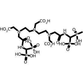 CP(=O)(O)C(NC(=O)CN(CCN(CCN(CC(=O)O)CC(=O)NC(P(=O)(O)O)P(=O)(O)O)CC(=O)O)CC(=O)O)P(=O)(O)O